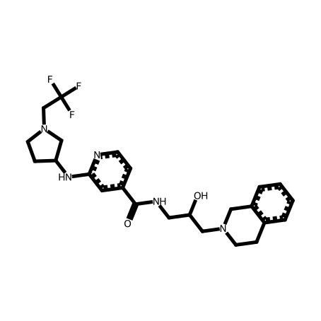 O=C(NCC(O)CN1CCc2ccccc2C1)c1ccnc(NC2CCN(CC(F)(F)F)C2)c1